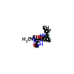 CCCN(C)c1cc(C(=O)N[C@@H](Cc2cc(F)cc(F)c2)[C@@H](O)CNCc2cccc(CC)c2)cc(-c2ncco2)n1